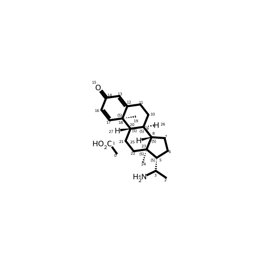 CC(=O)O.CC(N)[C@H]1CC[C@H]2[C@@H]3CCC4=CC(=O)C=C[C@]4(C)[C@H]3CC[C@]12C